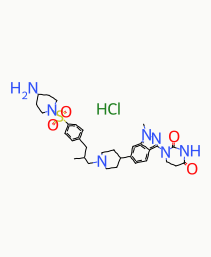 CC(Cc1ccc(S(=O)(=O)N2CCC(N)CC2)cc1)CN1CCC(c2ccc3c(N4CCC(=O)NC4=O)nn(C)c3c2)CC1.Cl